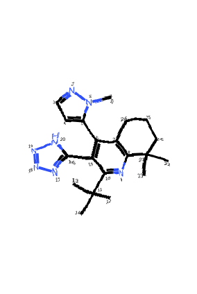 Cn1nccc1-c1c2c(nc(C(C)(C)C)c1-c1nnn[nH]1)C(C)(C)CCC2